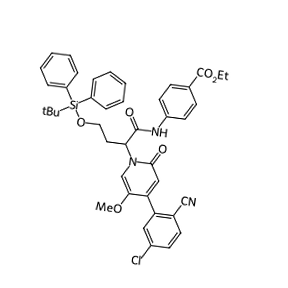 CCOC(=O)c1ccc(NC(=O)C(CCO[Si](c2ccccc2)(c2ccccc2)C(C)(C)C)n2cc(OC)c(-c3cc(Cl)ccc3C#N)cc2=O)cc1